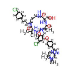 CC(C)C1NC(=O)N(Cc2ccc(Cl)cc2Oc2ccc(-c3cnc(CN(C)C)n3C)cc2)[C@@H](C)C(=O)N[C@@H](CO)C(=O)NCCCN(CCCc2ccc(Cl)cc2)C1=O